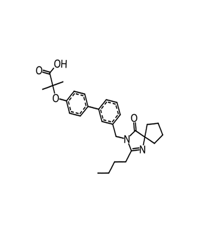 CCCCC1=NC2(CCCC2)C(=O)N1Cc1cccc(-c2ccc(OC(C)(C)C(=O)O)cc2)c1